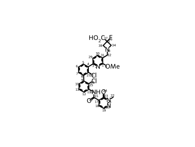 COc1nc(-c2cccc(-c3cccc(NC(=O)c4ccnn(C)c4=O)c3Cl)c2Cl)ccc1CN1CC(F)(C(=O)O)C1